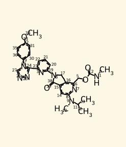 CNC(=O)OCc1nc(N(C)C(C)C)cc2c1CN(c1cccc(-c3nncn3-c3ccc(OC)cc3)n1)C2=O